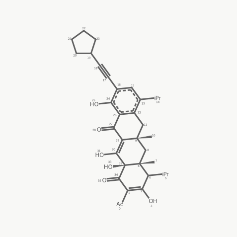 CC(=O)C1=C(O)C(C(C)C)[C@@]2(C)C[C@@]3(C)Cc4c(C(C)C)cc(C#CC5CCCC5)c(O)c4C(=O)C3=C(O)[C@@]2(O)C1=O